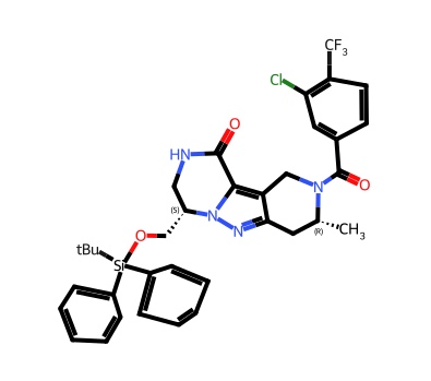 C[C@@H]1Cc2nn3c(c2CN1C(=O)c1ccc(C(F)(F)F)c(Cl)c1)C(=O)NC[C@H]3CO[Si](c1ccccc1)(c1ccccc1)C(C)(C)C